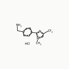 Cl.Cn1cc(C(F)(F)F)nc1-c1ccc(CN)cc1